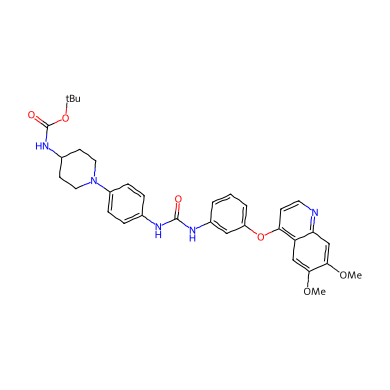 COc1cc2nccc(Oc3cccc(NC(=O)Nc4ccc(N5CCC(NC(=O)OC(C)(C)C)CC5)cc4)c3)c2cc1OC